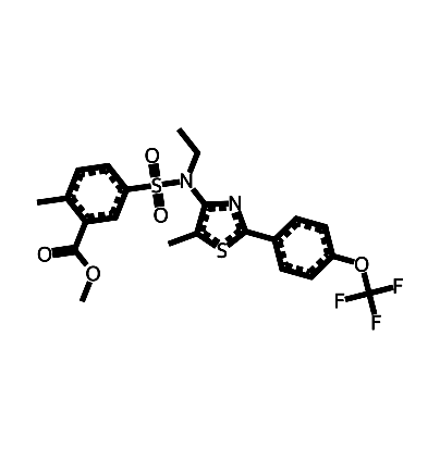 CCN(c1nc(-c2ccc(OC(F)(F)F)cc2)sc1C)S(=O)(=O)c1ccc(C)c(C(=O)OC)c1